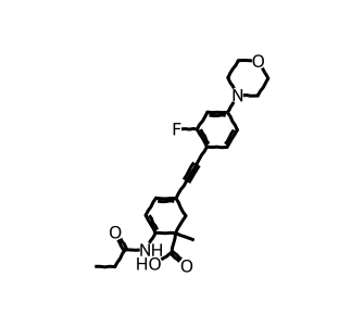 CCC(=O)NC1=CC=C(C#Cc2ccc(N3CCOCC3)cc2F)CC1(C)C(=O)O